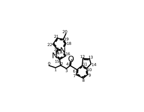 CCC(CC(=O)c1cccc2c1C=CC2)c1cn2cc(C)ccc2n1